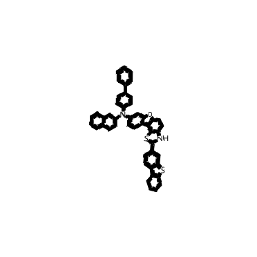 c1ccc(-c2ccc(N(c3ccc4ccccc4c3)c3ccc4c(c3)oc3ccc5c(c34)SC(c3ccc4c(c3)sc3ccccc34)N5)cc2)cc1